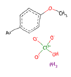 COc1cc[c]([Au])cc1.P.[O-][Cl+3]([O-])([O-])O